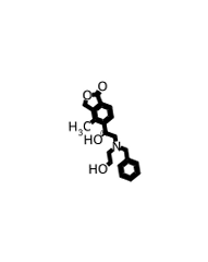 Cc1c([C@@H](O)CN(CCO)Cc2ccccc2)ccc2c1COC2=O